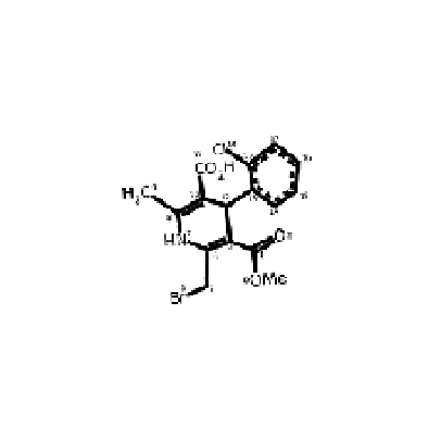 COC(=O)C1=C(CBr)NC(C)=C(C(=O)O)C1c1ccccc1Cl